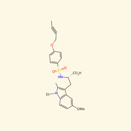 CC#CCOc1ccc(S(=O)(=O)N[C@@H](Cc2c(C)n(CC)c3ccc(OC)cc23)C(=O)O)cc1